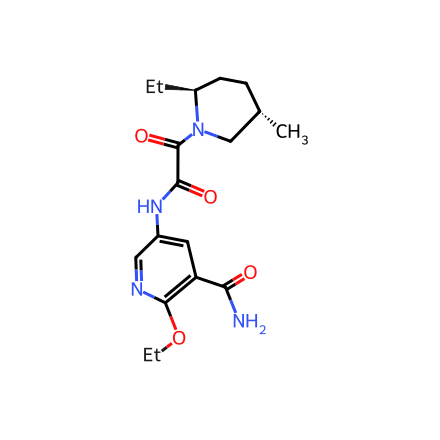 CCOc1ncc(NC(=O)C(=O)N2C[C@@H](C)CC[C@@H]2CC)cc1C(N)=O